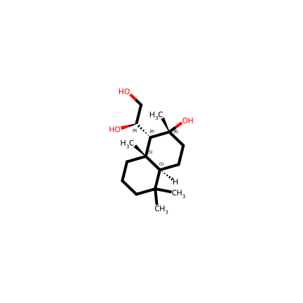 CC1(C)CCC[C@@]2(C)[C@H]1CC[C@@](C)(O)[C@H]2[C@@H](O)CO